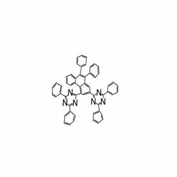 c1ccc(-c2nc(-c3ccccc3)nc(-c3cc(-c4nc(-c5ccccc5)nc(-c5ccccc5)n4)c4c(c3)c(-c3ccccc3)c(-c3ccccc3)c3ccccc34)n2)cc1